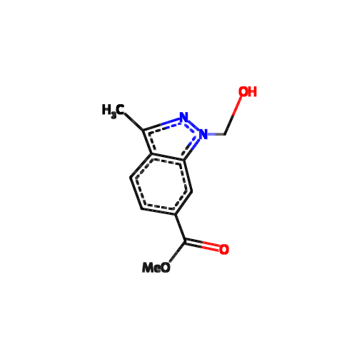 COC(=O)c1ccc2c(C)nn(CO)c2c1